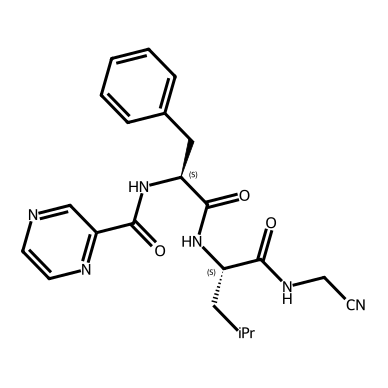 CC(C)C[C@H](NC(=O)[C@H](Cc1ccccc1)NC(=O)c1cnccn1)C(=O)NCC#N